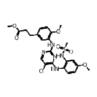 COC(=O)CCc1ccc(OC)c(Nc2ncc(Cl)c(Nc3ccc(OC)cc3NS(C)(=O)=O)n2)c1